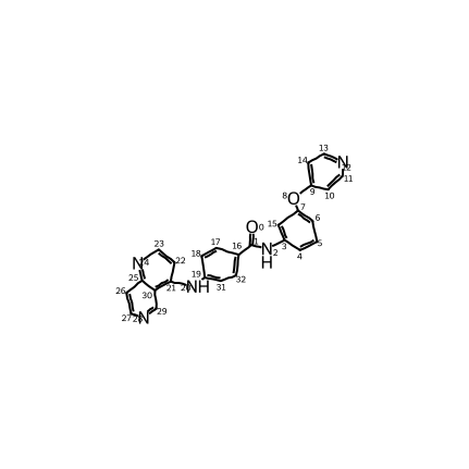 O=C(Nc1cccc(Oc2ccncc2)c1)c1ccc(Nc2ccnc3ccncc23)cc1